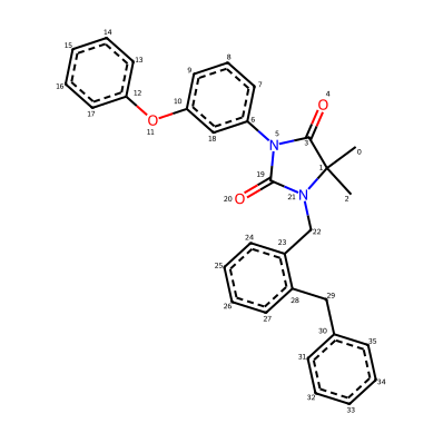 CC1(C)C(=O)N(c2cccc(Oc3ccccc3)c2)C(=O)N1Cc1ccccc1Cc1ccccc1